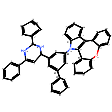 C1=C(c2ccccc2)NC(c2ccccc2)NC1c1cc(-c2ccccc2)cc(-n2c3c(c4ccccc42)-c2ccccc2Oc2ccccc2-3)c1